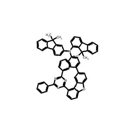 CC1(C)c2ccccc2-c2ccc(N(c3ccc(-c4ccc5oc6cccc(-c7nc(-c8ccccc8)nc(-c8ccccc8)n7)c6c5c4)cc3)c3cccc4c3C(C)(C)c3ccccc3-4)cc21